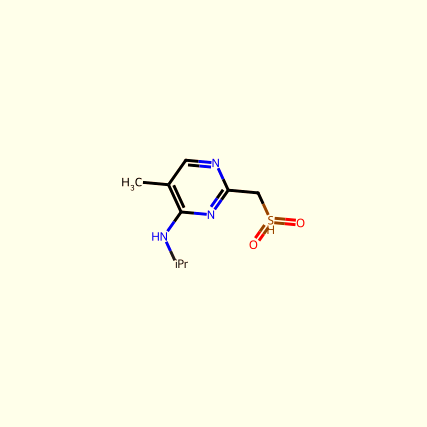 Cc1cnc(C[SH](=O)=O)nc1NC(C)C